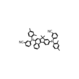 Cc1ccc(N(c2cccc(C#N)c2)c2ccc3c(c2)C(C)(C)c2cc(N(c4cccc(C#N)c4)c4ccc(C)cc4C)c4ccccc4c2-3)c(C)c1